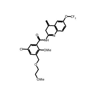 C=C1CC(NC(=O)c2cc(Cl)cc(COCCOC)c2OC)=Nc2ccc(OC(F)(F)F)cc21